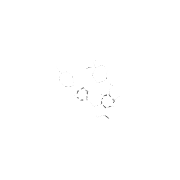 CCc1nc(C(N)=O)c(Nc2ccc(N3CCN(C)CC3)nc2)nc1N[C@H]1CC[C@@](C)(O)CC1